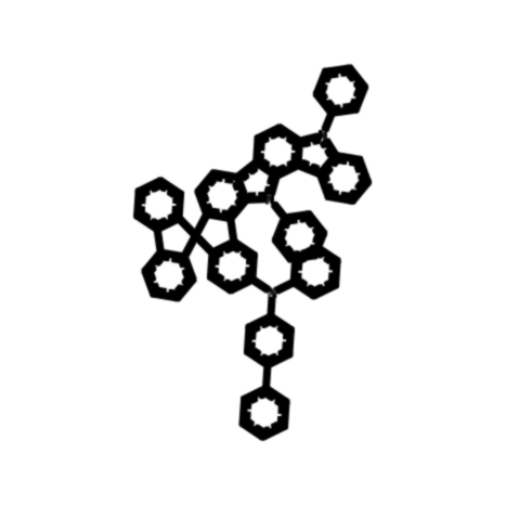 c1ccc(-c2ccc(N(c3ccccc3)c3ccc4c(c3)-c3c(ccc5c6ccc7c(c8ccccc8n7-c7ccccc7)c6n(-c6ccccc6)c35)C43c4ccccc4-c4ccccc43)cc2)cc1